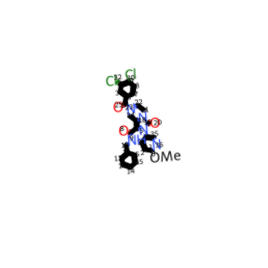 COc1ccc(-n2c(C(=O)NCc3ccccc3)c3n(c2=O)CCN(C(=O)c2ccc(Cl)c(Cl)c2)C3)cn1